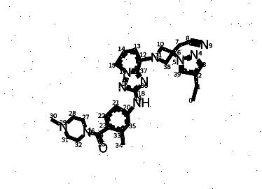 CCc1cnn(C2(CC#N)CN(c3cccn4nc(Nc5ccc(C(=O)N6CCN(C)CC6)c(C)c5)nc34)C2)c1